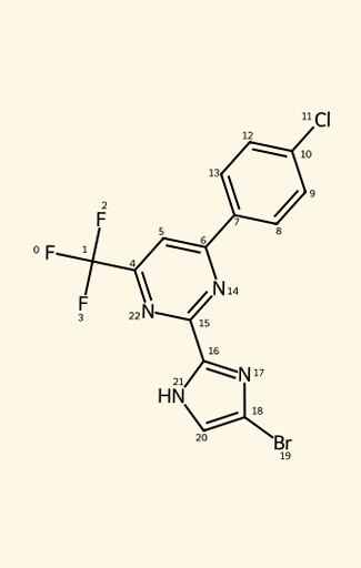 FC(F)(F)c1cc(-c2ccc(Cl)cc2)nc(-c2nc(Br)c[nH]2)n1